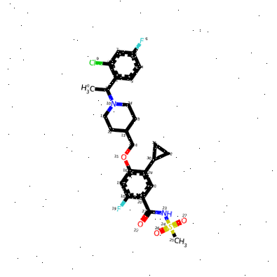 CC(c1ccc(F)cc1Cl)N1CCC(COc2cc(F)c(C(=O)NS(C)(=O)=O)cc2C2CC2)CC1